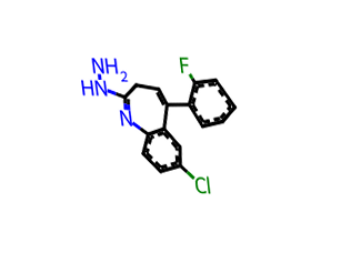 NNC1=Nc2ccc(Cl)cc2C(c2ccccc2F)=CC1